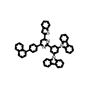 c1ccc2sc(-c3cc(-c4ccc(-c5cccc6ccccc56)cc4)nc(-c4cc(-n5c6ccccc6c6ccccc65)cc(-n5c6ccccc6c6ccccc65)c4)n3)cc2c1